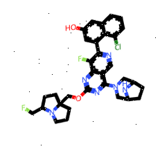 Oc1cc(-c2ncc3c(N4CC5CCC(C4)N5)nc(OCC45CCCN4C(CF)CC5)nc3c2F)c2c(Cl)cccc2c1